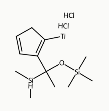 C[SiH](C)C(C)(O[Si](C)(C)C)C1=[C]([Ti])CC=C1.Cl.Cl